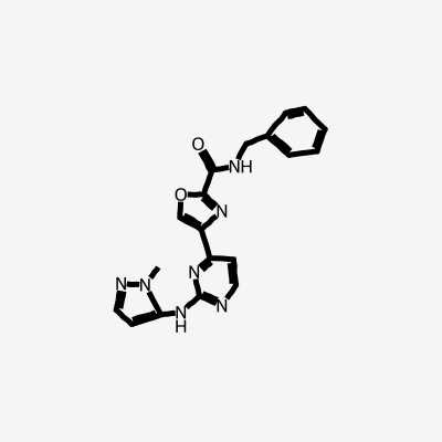 Cn1nccc1Nc1nccc(-c2coc(C(=O)NCc3ccccc3)n2)n1